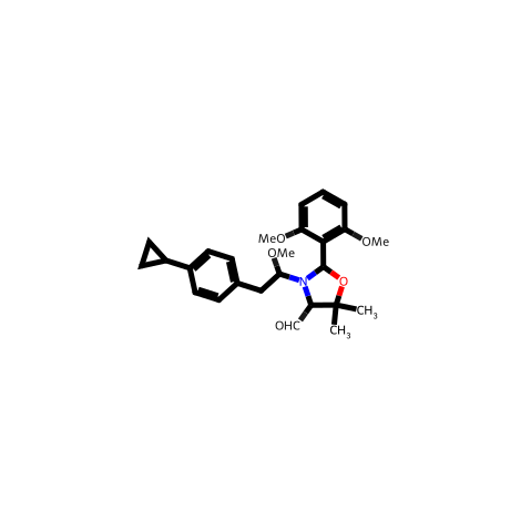 COc1cccc(OC)c1C1OC(C)(C)C(C=O)N1C(Cc1ccc(C2CC2)cc1)OC